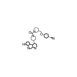 N#Cc1ccc(OCC2CCCN(C(=O)N3CCC(c4ccnc5cnc6[nH]ccc6c45)CC3)C2)cc1